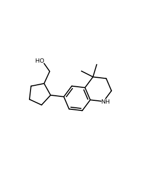 CC1(C)CCNc2ccc(C3CCCC3CO)cc21